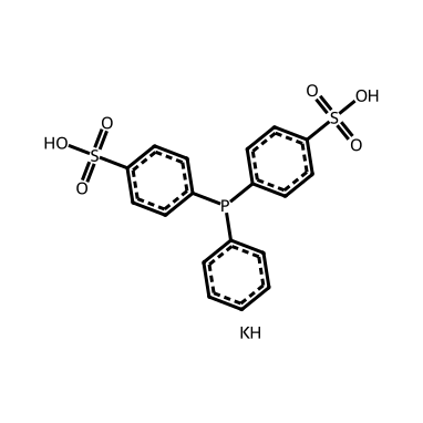 O=S(=O)(O)c1ccc(P(c2ccccc2)c2ccc(S(=O)(=O)O)cc2)cc1.[KH]